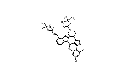 CC(C)(C)OC(=O)/C=C/c1cccc2c1ccn2C(=O)c1c(C2CCN(C(=O)OC(C)(C)C)CC2)noc1-c1c(Cl)cc(Cl)cc1Cl